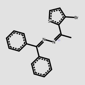 C/C(=N/N=C(c1ccccc1)c1ccccc1)c1sccc1Br